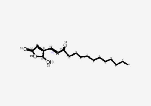 CCCCCCCCCCCC(=O)/C=C/C1=CC(=O)OC1O